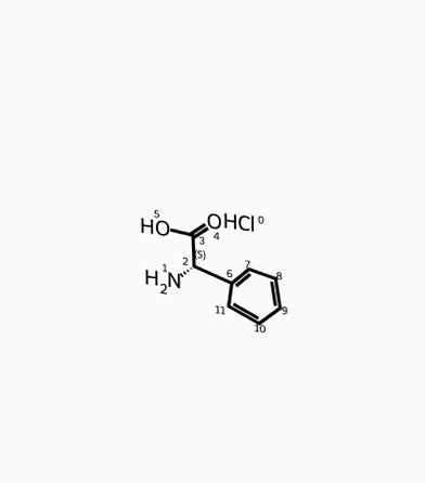 Cl.N[C@H](C(=O)O)c1ccccc1